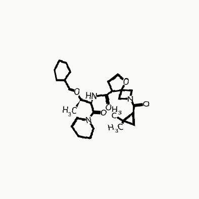 C[C@@H](OCC1CCCCC1)[C@H](NC(=O)C1CCOC12CN(C(=O)[C@H]1CC1(C)C)C2)C(=O)N1CCCCC1